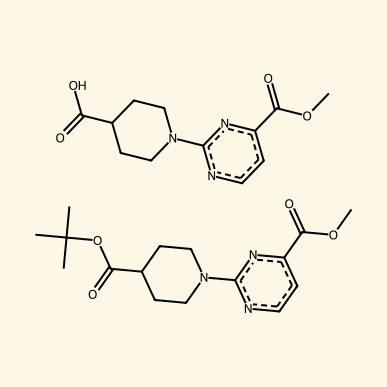 COC(=O)c1ccnc(N2CCC(C(=O)O)CC2)n1.COC(=O)c1ccnc(N2CCC(C(=O)OC(C)(C)C)CC2)n1